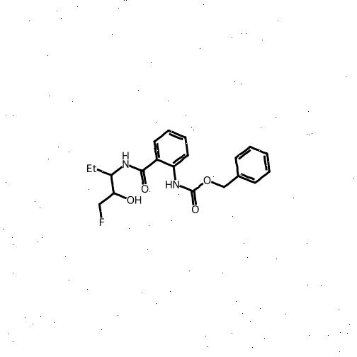 CCC(NC(=O)c1ccccc1NC(=O)OCc1ccccc1)C(O)CF